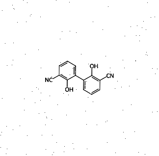 N#Cc1cccc(-c2cccc(C#N)c2O)c1O